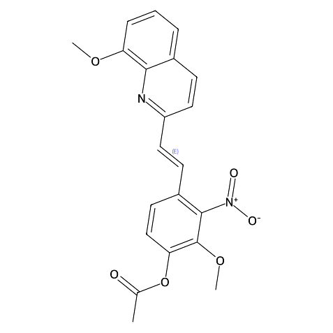 COc1c(OC(C)=O)ccc(/C=C/c2ccc3cccc(OC)c3n2)c1[N+](=O)[O-]